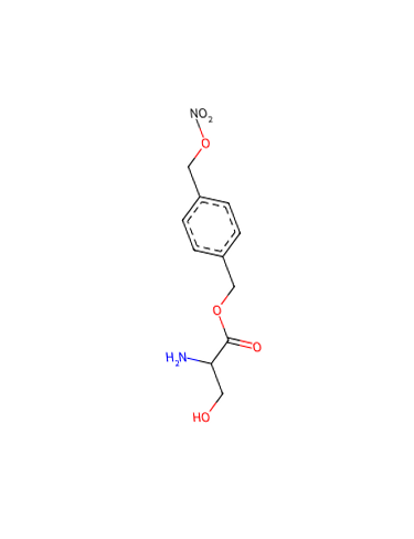 NC(CO)C(=O)OCc1ccc(CO[N+](=O)[O-])cc1